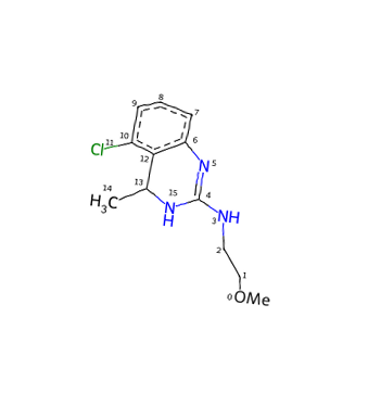 COCCNC1=Nc2cccc(Cl)c2C(C)N1